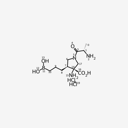 C[C@H](N)C(=O)N1C[C@H](CCCB(O)O)[C@](N)(C(=O)O)C1.Cl.Cl